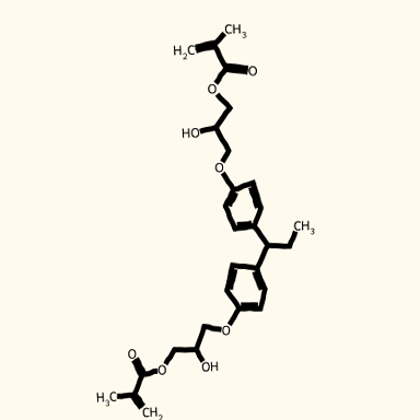 C=C(C)C(=O)OCC(O)COc1ccc(C(CC)c2ccc(OCC(O)COC(=O)C(=C)C)cc2)cc1